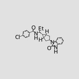 CCC(NC(=O)c1ccc(Cl)cc1)[C@H]1[C@@H]2C[C@@H](n3c(=O)[nH]c4ccccc43)C[C@@H]21